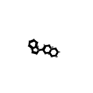 C1=C(n2ccc3ccccc32)CC2CCCCN2C1